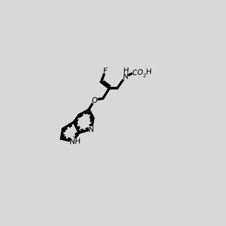 O=C(O)NCC(=CF)COc1cnc2[nH]ccc2c1